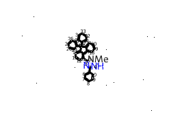 CN/C(=N\C(=N)c1ccccc1)c1cccc2c1-c1ccccc1C2(c1ccccc1)c1ccccc1